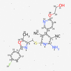 [C-]#[N+]c1c(N)nc(SCc2nc(-c3ccc(F)cc3)oc2C)c(C#N)c1-c1ccc(OCCO)nc1